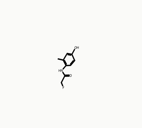 Cc1cc(O)ccc1NC(=O)CF